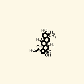 CC1(C)C2CC[C@@]3(C)C4CC[C@@]5(C(=O)O)CC[C@@H](C(O)CO)C5C4CCC3[C@@]2(C)CC[C@@H]1O